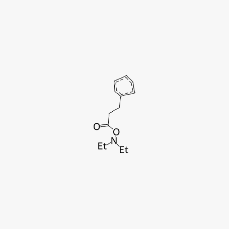 CCN(CC)OC(=O)CCc1ccccc1